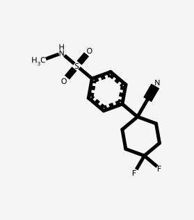 CNS(=O)(=O)c1ccc(C2(C#N)CCC(F)(F)CC2)cc1